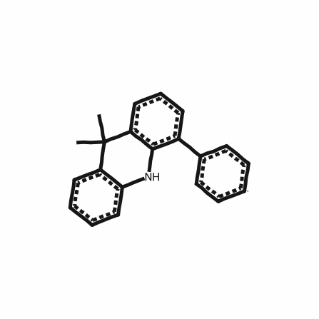 CC1(C)c2ccccc2Nc2c(-c3cc[c]cc3)cccc21